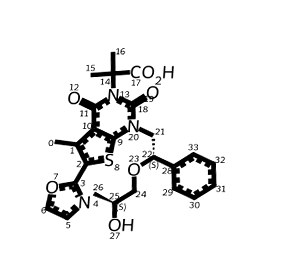 Cc1c(-c2ncco2)sc2c1c(=O)n(C(C)(C)C(=O)O)c(=O)n2C[C@@H](OC[C@H](C)O)c1ccccc1